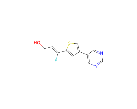 OCC=C(F)c1cc(-c2cncnc2)cs1